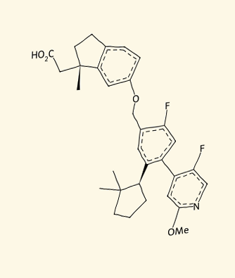 COc1cc(-c2cc(F)c(COc3ccc4c(c3)[C@](C)(CC(=O)O)CC4)cc2[C@H]2CCCC2(C)C)c(F)cn1